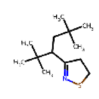 CC(C)(C)CC(C1=NSCC1)C(C)(C)C